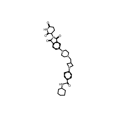 O=C1CCC(N2C(=O)c3ccc(N4CCN(CC5CN(c6ccc(C(=O)NC7CCCCC7)cc6)C5)CC4)cc3C2=O)C(=O)N1